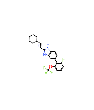 Fc1cccc(OC(F)(F)F)c1-c1ccc2[nH]c(/C=C/C3CCCCC3)nc2c1